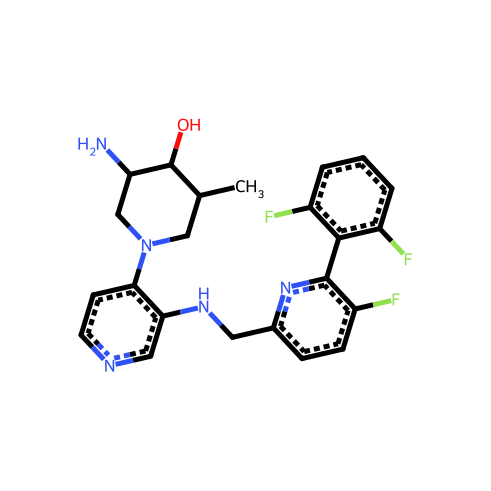 CC1CN(c2ccncc2NCc2ccc(F)c(-c3c(F)cccc3F)n2)CC(N)C1O